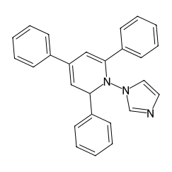 C1=C(c2ccccc2)C=C(c2ccccc2)N(n2ccnc2)C1c1ccccc1